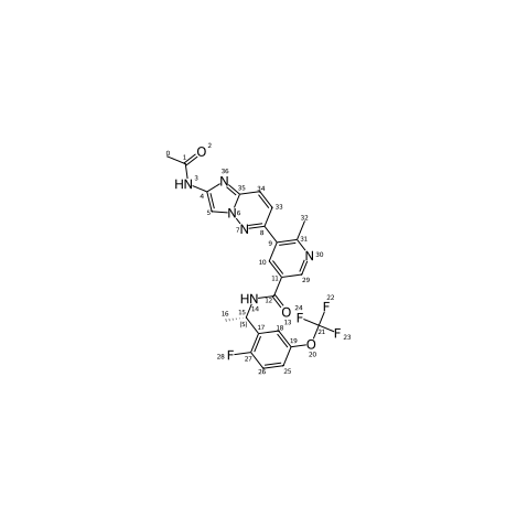 CC(=O)Nc1cn2nc(-c3cc(C(=O)N[C@@H](C)c4cc(OC(F)(F)F)ccc4F)cnc3C)ccc2n1